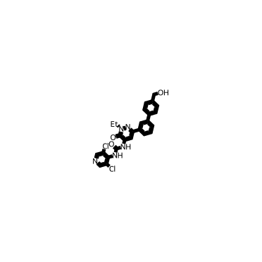 CCn1nc(-c2cccc(-c3ccc(CO)cc3)c2)cc(NC(=O)Nc2c(Cl)cncc2Cl)c1=O